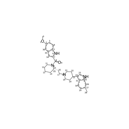 COc1ccc2[nH]c(C(=O)N3CCCC[C@H]3CCN3CCC(c4c[nH]c5cc(C)ccc45)CC3)cc2c1